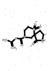 C=C(C)OC(=O)N1CCS(=O)(=O)C2(CCNC2=O)C1